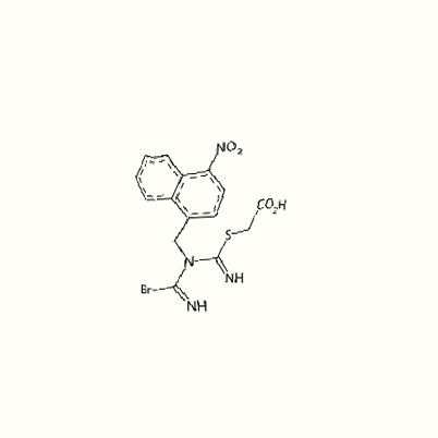 N=C(Br)N(Cc1ccc([N+](=O)[O-])c2ccccc12)C(=N)SCC(=O)O